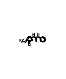 FC(F)(F)Sc1ccc(NC(=S)NC2=CC[CH]C=C2)cc1Cl